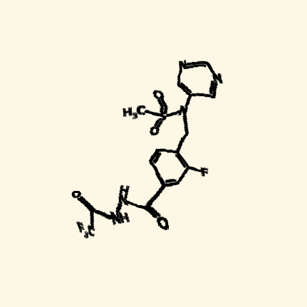 CS(=O)(=O)N(Cc1ccc(C(=O)NNC(=O)C(F)(F)F)cc1F)c1cncnc1